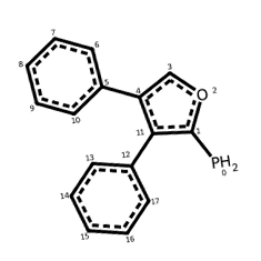 Pc1occ(-c2ccccc2)c1-c1ccccc1